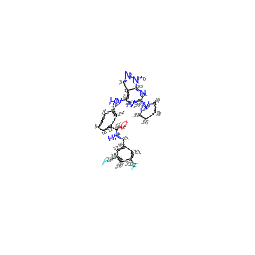 Cn1ncc2c(Nc3cccc(C(=O)NCc4cc(F)cc(F)c4)c3)nc(N3CCCC3)nc21